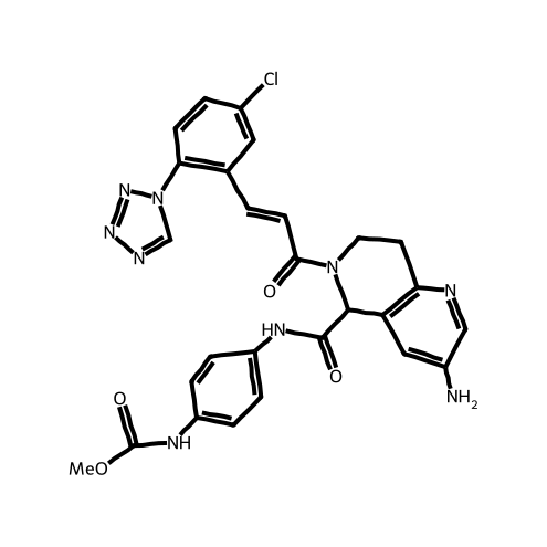 COC(=O)Nc1ccc(NC(=O)C2c3cc(N)cnc3CCN2C(=O)/C=C/c2cc(Cl)ccc2-n2cnnn2)cc1